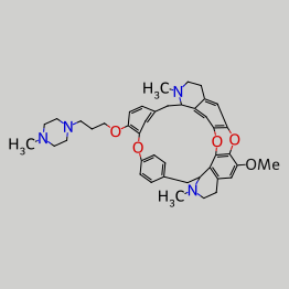 COc1cc2c3c4c1Oc1cc5c(cc1O4)C(Cc1ccc(OCCCN4CCN(C)CC4)c(c1)Oc1ccc(cc1)CC3N(C)CC2)N(C)CC5